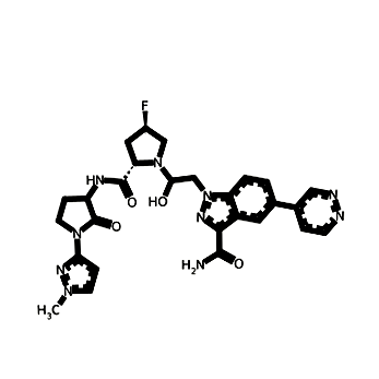 Cn1ccc(N2CCC(NC(=O)[C@@H]3C[C@@H](F)CN3C(O)Cn3nc(C(N)=O)c4cc(-c5ccnnc5)ccc43)C2=O)n1